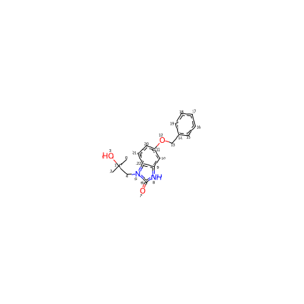 CC(C)(O)Cn1c(=O)[nH]c2cc(OCc3ccccc3)ccc21